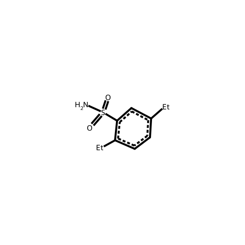 CCc1ccc(CC)c(S(N)(=O)=O)c1